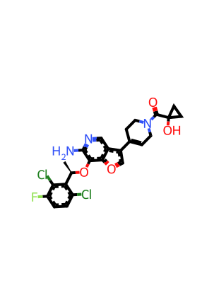 C[C@@H](Oc1c(N)ncc2c(C3=CCN(C(=O)C4(O)CC4)CC3)coc12)c1c(Cl)ccc(F)c1Cl